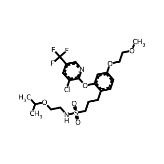 COCCOc1ccc(CCCS(=O)(=O)NCCOC(C)C)c(Oc2ncc(C(F)(F)F)cc2Cl)c1